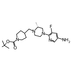 C[C@@H]1CN(c2ncc(N)cc2F)CCN1CC1CCN(C(=O)OC(C)(C)C)CC1